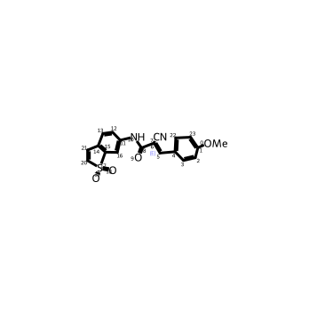 COc1ccc(/C=C(\C#N)C(=O)Nc2ccc3c(c2)S(=O)(=O)C=C3)cc1